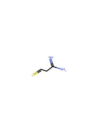 N=C(N)C[C]=S